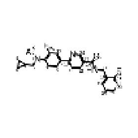 CC(=O)N(CC1CC1)c1ccc(-c2ccc(C(=O)NCc3cccnc3F)cn2)cc1F